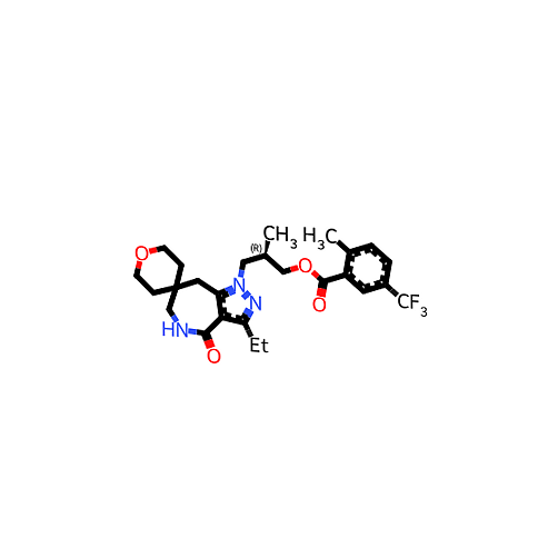 CCc1nn(C[C@@H](C)COC(=O)c2cc(C(F)(F)F)ccc2C)c2c1C(=O)NCC1(CCOCC1)C2